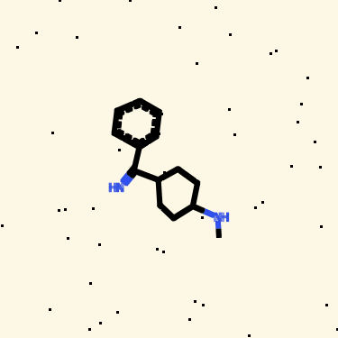 CNC1CCC(C(=N)c2ccccc2)CC1